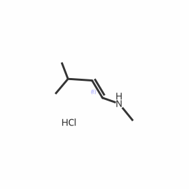 CN/C=C/C(C)C.Cl